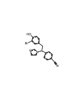 N#Cc1ccc(N(Cc2ccc(O)c(Br)c2)n2ccnc2)cc1